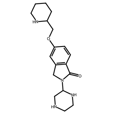 O=C1c2ccc(OCC3CCCCN3)cc2CN1C1CNCCN1